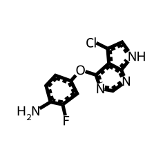 Nc1ccc(Oc2ncnc3[nH]cc(Cl)c23)cc1F